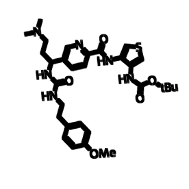 COc1ccc(CCNC(=O)NC(CCN(C)C)c2ccc(C(=O)Nc3cscc3NC(=O)OC(C)(C)C)nc2)cc1